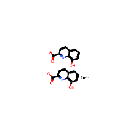 O=C([O-])c1ccc2cccc(O)c2n1.O=C([O-])c1ccc2cccc(O)c2n1.[Cu+2]